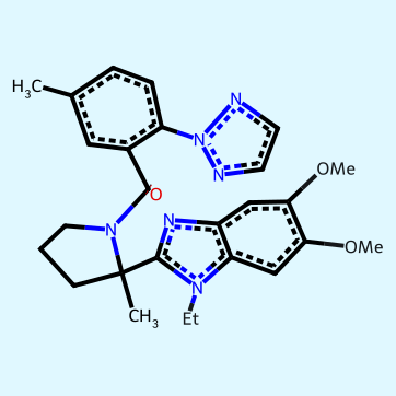 CCn1c(C2(C)CCCN2C(=O)c2cc(C)ccc2-n2nccn2)nc2cc(OC)c(OC)cc21